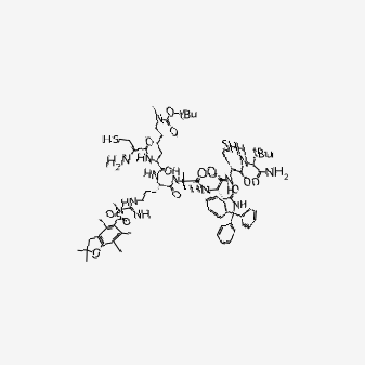 Cc1c(C)c(S(=O)(=O)N(C)C(=N)NCCC[C@H](NC(=O)[C@H](CCCCN(C)C(=O)OC(C)(C)C)NC(=O)[C@@H](N)CS)C(=O)NC(C)(C)C(=O)N[C@@H](CC(=O)NC(c2ccccc2)(c2ccccc2)c2ccccc2)C(=O)N[C@@H](CS)C(=O)N[C@H](C(N)=O)C(C)(C)C)c(C)c2c1OC(C)(C)C2